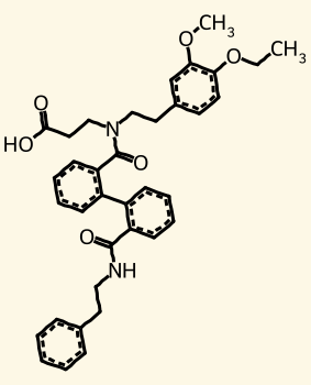 CCOc1ccc(CCN(CCC(=O)O)C(=O)c2ccccc2-c2ccccc2C(=O)NCCc2ccccc2)cc1OC